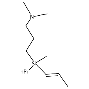 CC=C[Si](C)(CCC)CCCN(C)C